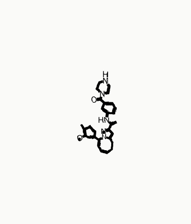 C=C(Nc1cccc(C(=O)N2CCNCC2)c1)c1cc2n(n1)/C(c1ccc(C)c(OC)c1)=C\C=C/CC2